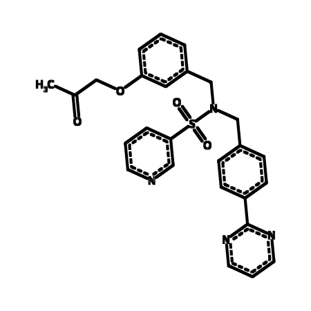 CC(=O)COc1cccc(CN(Cc2ccc(-c3ncccn3)cc2)S(=O)(=O)c2cccnc2)c1